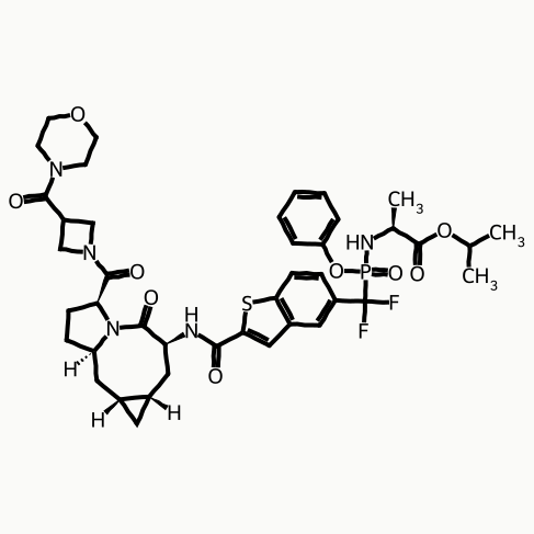 CC(C)OC(=O)[C@H](C)NP(=O)(Oc1ccccc1)C(F)(F)c1ccc2sc(C(=O)N[C@H]3C[C@@H]4C[C@@H]4C[C@H]4CC[C@@H](C(=O)N5CC(C(=O)N6CCOCC6)C5)N4C3=O)cc2c1